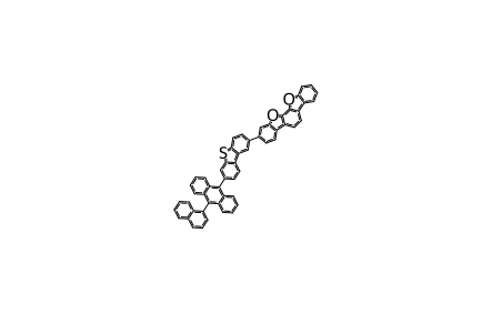 c1ccc2c(-c3c4ccccc4c(-c4ccc5c(c4)sc4ccc(-c6ccc7c(c6)oc6c7ccc7c8ccccc8oc76)cc45)c4ccccc34)cccc2c1